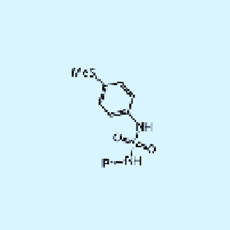 CSc1ccc(NS(=O)(=O)NC(C)C)cc1